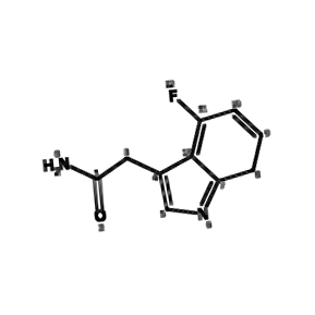 NC(=O)CC1=CN=C2CC=CC(F)=C12